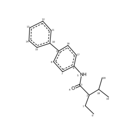 CCC(C(=O)Nc1ccc(-c2ccccc2)cc1)C(C)C